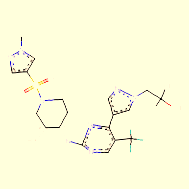 C[C@@H]1CN(S(=O)(=O)c2cnn(C)c2)CC[C@@H]1Nc1ncc(C(F)(F)F)c(-c2cnn(CC(C)(C)O)c2)n1